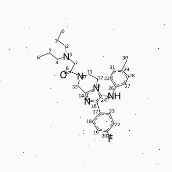 CCCN(CCC)CC(=O)N1CCn2c(nc(-c3ccc(F)cc3)c2Nc2ccc(C)cc2)C1